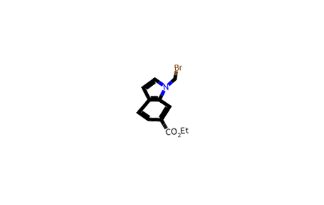 CCOC(=O)c1ccc2ccn(CBr)c2c1